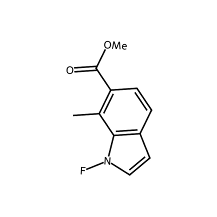 COC(=O)c1ccc2ccn(F)c2c1C